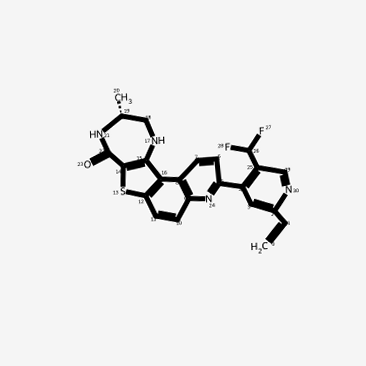 C=Cc1cc(-c2ccc3c(ccc4sc5c(c43)NC[C@@H](C)NC5=O)n2)c(C(F)F)cn1